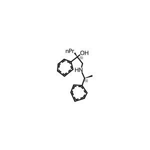 CCC[C@@](O)(CN[C@@H](C)c1ccccc1)c1ccccc1